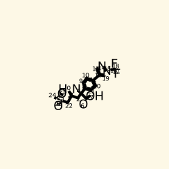 CC(CC(N)(C(=O)O)c1ccc(-c2cnn(C(F)F)c2)cc1)CS(C)(=O)=O